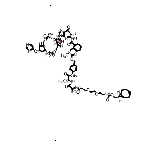 CC(C)C(NC(=O)CCOCCOCCNC(=O)OC[C@@H]1[C@@H]2CCC#CCC[C@@H]21)C(=O)N[C@@H](C)C(=O)Nc1ccc(COC(=O)N(C)Cc2ccccc2C(=O)Nc2nc3c(ncn3[C@@H]3O[C@@H]4CO[P@@](=O)(S)O[C@H]5C[C@H](Oc6ccncn6)C[C@@H]5CO[P@@](=O)(S)O[C@@H]3[C@@H]4O)c(=O)[nH]2)cc1